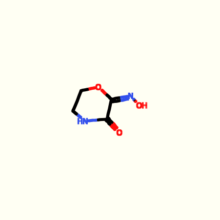 O=C1NCCOC1=NO